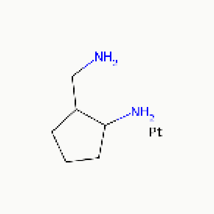 NCC1CCCC1N.[Pt]